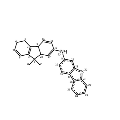 CC1(C)C2=C(CCC=C2)C2C=CC(Nc3ccc4c(c3)sc3ccccc34)=CC21